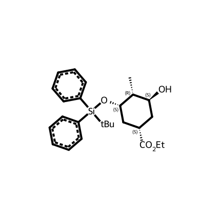 CCOC(=O)[C@@H]1C[C@H](O[Si](c2ccccc2)(c2ccccc2)C(C)(C)C)[C@H](C)[C@@H](O)C1